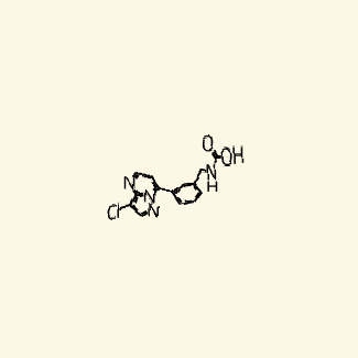 O=C(O)NCc1cccc(-c2ccnc3c(Cl)cnn23)c1